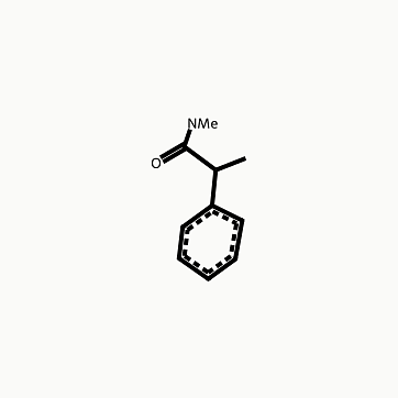 [CH]NC(=O)C(C)c1ccccc1